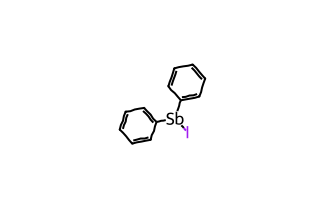 [I][Sb]([c]1ccccc1)[c]1ccccc1